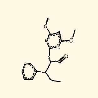 CCC(c1ccccc1)C(C=O)Sc1nc(OC)cc(OC)n1